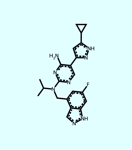 CC(C)N(Cc1cc(F)cc2[nH]ncc12)c1ncc(-c2cc(C3CC3)[nH]n2)c(N)n1